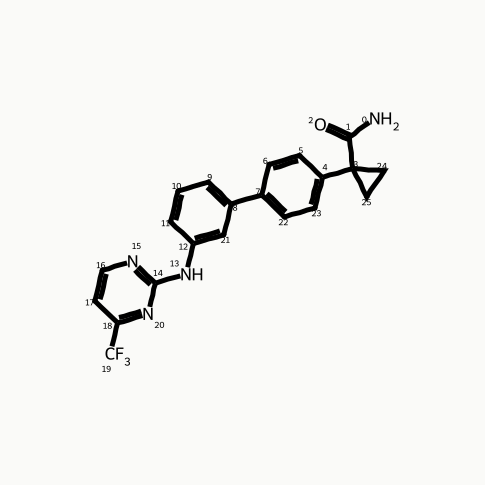 NC(=O)C1(c2ccc(-c3cccc(Nc4nccc(C(F)(F)F)n4)c3)cc2)CC1